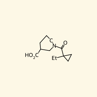 CCC1(C(=O)N2CCCC(C(=O)O)C2)CC1